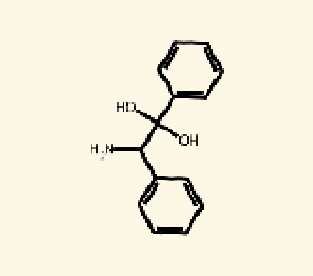 NC(c1ccccc1)C(O)(O)c1ccccc1